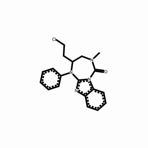 CN1CC(CCCl)N(c2ccccc2)c2nc3ccccc3n2C1=O